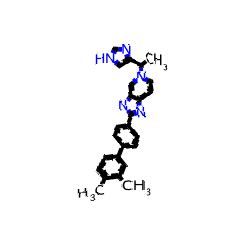 Cc1ccc(-c2ccc(-c3nc4ccn(C(C)c5c[nH]cn5)cc-4n3)cc2)cc1C